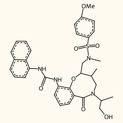 COc1ccc(S(=O)(=O)N(C)CC2Oc3c(NC(=O)Nc4cccc5ccccc45)cccc3C(=O)N(C(C)CO)CC2C)cc1